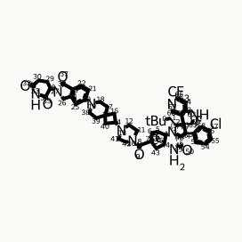 CC(C)(C)C[C@@H]1N(C23CCC(C(=O)N4CCN(C5CC6(CCN(c7ccc8c(c7)CN(C7CCC(=O)NC7=O)C8=O)CC6)C5)CC4)(CC2)CC3)[C@@H](C(N)=O)[C@H](c2cccc(Cl)c2F)[C@]12CNc1cc(C(F)(F)F)ncc12